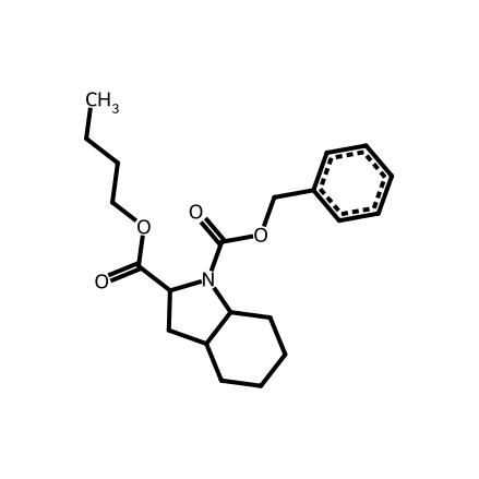 CCCCOC(=O)C1CC2CCCCC2N1C(=O)OCc1ccccc1